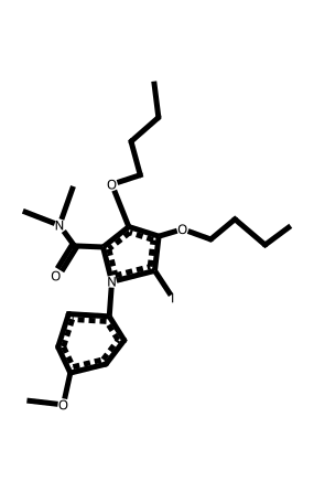 CCCCOc1c(OCCCC)c(C(=O)N(C)C)n(-c2ccc(OC)cc2)c1I